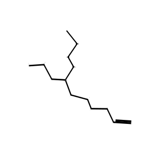 C=CCCCCC(CCC)CCCC